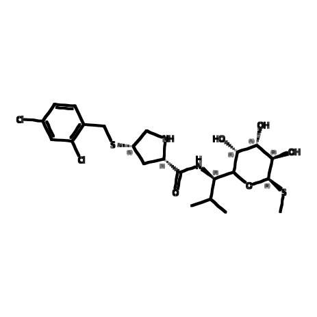 CS[C@H]1OC([C@H](NC(=O)[C@@H]2C[C@H](SCc3ccc(Cl)cc3Cl)CN2)C(C)C)[C@H](O)[C@H](O)[C@H]1O